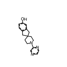 Oc1ccc2c(c1)CC1(CCN(c3cnccn3)CC1)C2